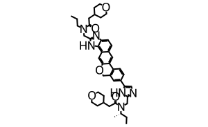 CCCN(Cc1nc2ccc3cc4c(cc3c2[nH]1)OCc1cc(-c2cnc(CN(C(=O)CC3CCOCC3)[C@@H](C)CC)[nH]2)ccc1-4)C(=O)CC1CCOCC1